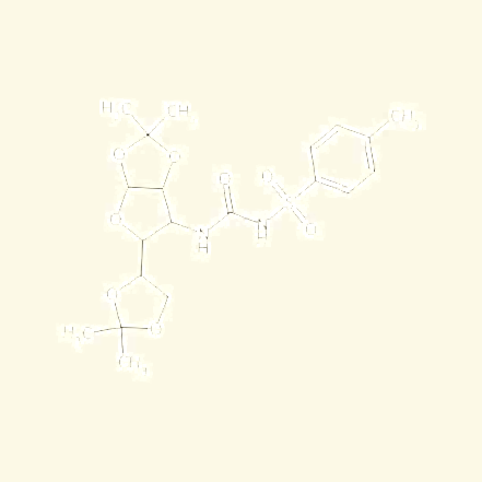 Cc1ccc(S(=O)(=O)NC(=O)NC2C(C3COC(C)(C)O3)OC3OC(C)(C)OC32)cc1